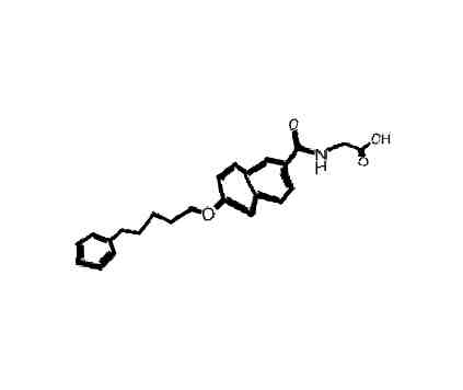 O=C(O)CNC(=O)c1ccc2cc(OCCCCCc3ccccc3)ccc2c1